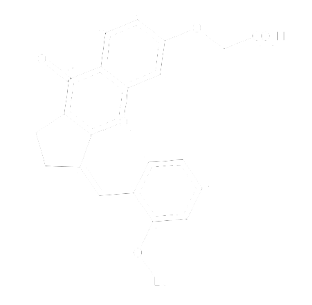 CCOc1ccccc1/C=C1/CCc2c1oc1cc(OCC(=O)O)ccc1c2=O